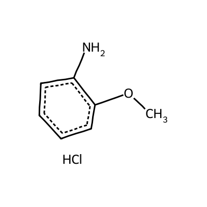 COc1ccccc1N.Cl